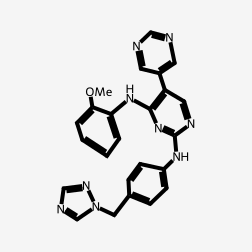 COc1ccccc1Nc1nc(Nc2ccc(Cn3cncn3)cc2)ncc1-c1cncnc1